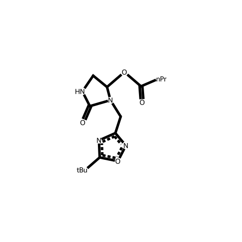 CCCC(=O)OC1CNC(=O)N1Cc1noc(C(C)(C)C)n1